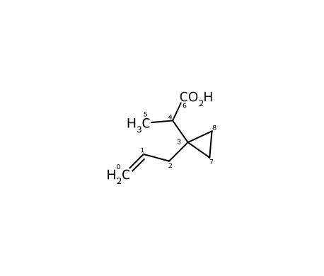 C=CCC1(C(C)C(=O)O)CC1